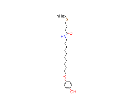 CCCCCCSCCCC(=O)NCCCCCCCCCCCOc1ccc(O)cc1